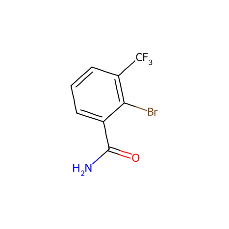 NC(=O)c1cccc(C(F)(F)F)c1Br